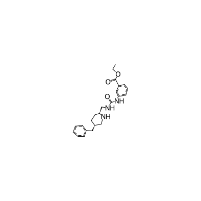 CCOC(=O)c1cccc(NC(=O)NC[C@@H]2CC[C@H](Cc3ccccc3)CN2)c1